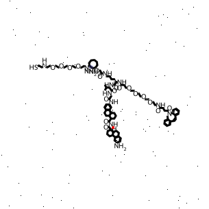 CC(C)C(NC(=O)[C@@H](CCCCNC(=O)COC1CCCCC/C(N(N)CCOCCOCCOCCOCCNCCS)=C\1N)NC(=O)CCOCCOCCOCCOCCNC(=O)CCC(=O)N1Cc2ccccc2C#Cc2ccccc21)C(=O)NCC(=O)Nc1ccc2c(c1)[C@@]1(C)CCCC(C(=O)NC(=O)[C@@]3(C)CCCC4c5cc(N)ccc5CC[C@H]43)C1CC2